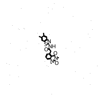 Cc1cc2nc(NC(=O)Cc3cccc4c3c(=O)n(C)c(=O)n4C)sc2cc1C